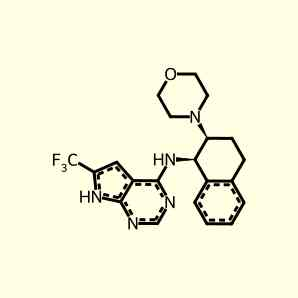 FC(F)(F)c1cc2c(N[C@@H]3c4ccccc4CC[C@@H]3N3CCOCC3)ncnc2[nH]1